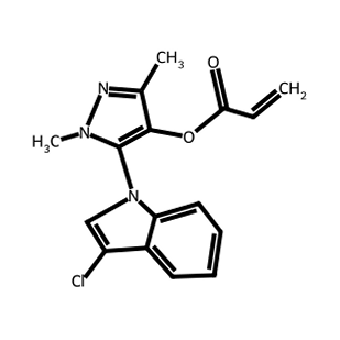 C=CC(=O)Oc1c(C)nn(C)c1-n1cc(Cl)c2ccccc21